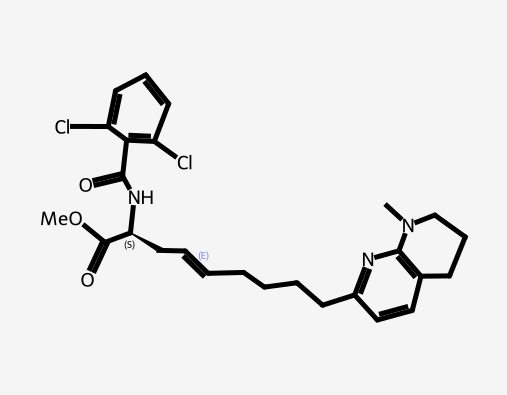 COC(=O)[C@H](C/C=C/CCCCc1ccc2c(n1)N(C)CCC2)NC(=O)c1c(Cl)cccc1Cl